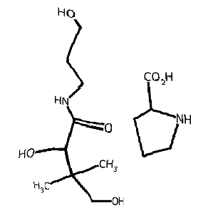 CC(C)(CO)C(O)C(=O)NCCCO.O=C(O)C1CCCN1